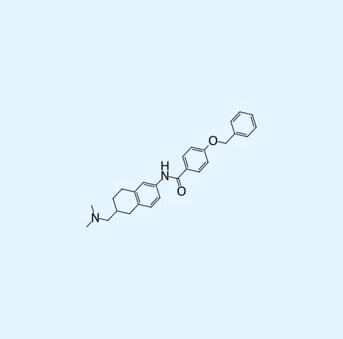 CN(C)CC1CCc2cc(NC(=O)c3ccc(OCc4ccccc4)cc3)ccc2C1